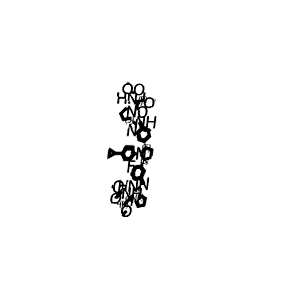 COC(=O)N[C@H](C(=O)N1CCC[C@H]1c1nc2cc([C@@H]3CC[C@@H](c4ccc5[nH]c([C@@H]6CCCN6[C@@H](NC(=O)OC)[C@@H](C)OC)nc5c4)N3c3ccc(C4CC4)cc3F)ccc2[nH]1)[C@@H](C)OC